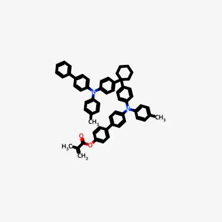 C=C(C)C(=O)Oc1ccc(-c2ccc(N(c3ccc(C)cc3)c3ccc(C4(c5ccc(N(c6ccc(C)cc6)c6ccc(-c7ccccc7)cc6)cc5)CCCCC4)cc3)cc2)cc1